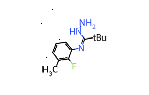 Cc1cccc(/N=C(\NN)C(C)(C)C)c1F